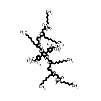 CCCCCCCCc1cc(/C=C2\SC(=S)N(CCCCCCC)C2=O)sc1-c1ccc(-c2sc(-c3nc4c(-c5ccc(C(C)(C)C)cc5)c5sc(-c6cc(CCCCCCCC)c(-c7ccc(-c8sc(/C=C9\SC(=S)N(CCCCCCC)C9=O)cc8CCCCCCCC)s7)s6)nc5c(-c5ccc(C(C)(C)C)cc5)c4s3)cc2CCCCCCCC)s1